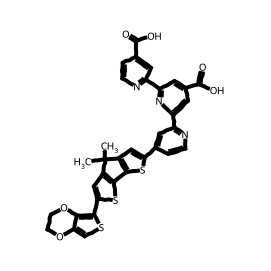 CC1(C)c2cc(-c3ccnc(-c4cc(C(=O)O)cc(-c5cc(C(=O)O)ccn5)n4)c3)sc2-c2sc(-c3scc4c3OCCO4)cc21